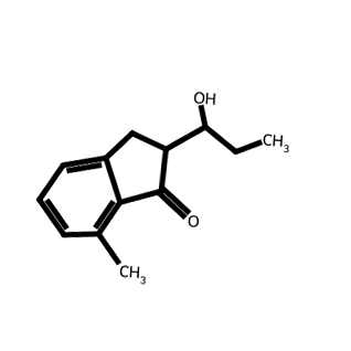 CCC(O)C1Cc2cccc(C)c2C1=O